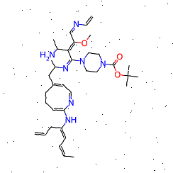 C=CC/C(=C\C=C/C)NC1=CCC/C(CC(C)\N=C(/C(=C(/C=N\C=C)OC)C(C)N)N2CCN(C(=O)OC(C)(C)C)CC2)=C\C=N/1